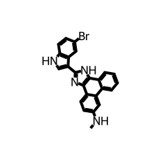 CNc1ccc2c(c1)c1ccccc1c1[nH]c(-c3c[nH]c4ccc(Br)cc34)nc21